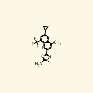 Cc1cc(-c2nnc(N)o2)nc2c(C(F)(F)F)cc(C3CC3)cc12